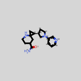 NC(=O)C1CCNC2(C1)CC2[C@H]1CCN(c2cccnc2)C1